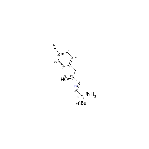 CCCC[C@@H](N)/C=C/[C@@H](O)Cc1ccc(F)cc1